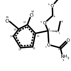 CC[C@](OCOC)(OC(N)=O)c1cccc(Cl)c1Cl